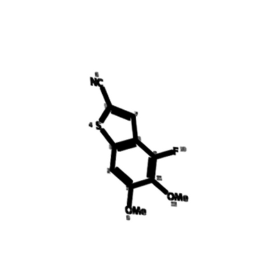 COc1cc2sc(C#N)cc2c(F)c1OC